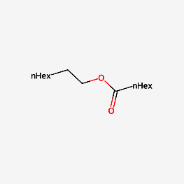 [CH2]CCCCCCCOC(=O)CCCCCC